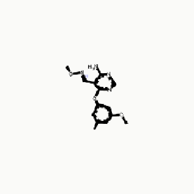 CO/N=C/c1c(N)ncnc1Oc1cc(C)cc(OC)c1